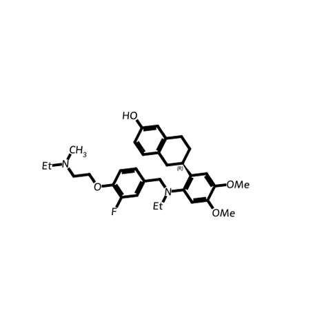 CCN(C)CCOc1ccc(CN(CC)c2cc(OC)c(OC)cc2[C@@H]2CCc3cc(O)ccc3C2)cc1F